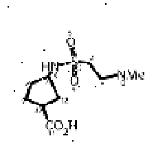 CNCCS(=O)(=O)NC1CCC(C(=O)O)C1